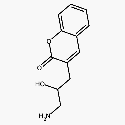 NCC(O)Cc1cc2ccccc2oc1=O